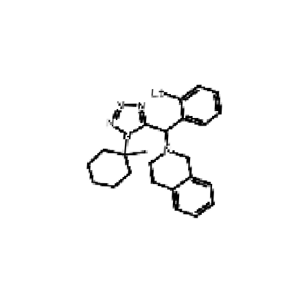 CCc1ccccc1C(c1nnnn1C1(C)CCCCC1)N1CCc2ccccc2C1